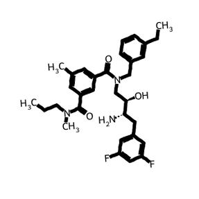 CCCN(C)C(=O)c1cc(C)cc(C(=O)N(Cc2cccc(CC)c2)C[C@@H](O)[C@@H](N)Cc2cc(F)cc(F)c2)c1